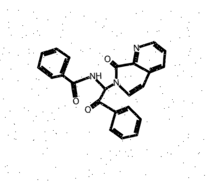 O=C(NC(C(=O)c1ccccc1)n1ccc2cccnc2c1=O)c1ccccc1